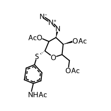 CC(=O)Nc1ccc(S[C@H]2OC(COC(C)=O)[C@H](OC(C)=O)[C@H](N=[N+]=[N-])C2OC(C)=O)cc1